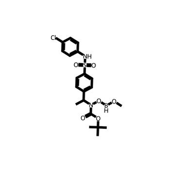 COBON(C(=O)OC(C)(C)C)C(C)c1ccc(S(=O)(=O)Nc2ccc(Cl)cc2)cc1